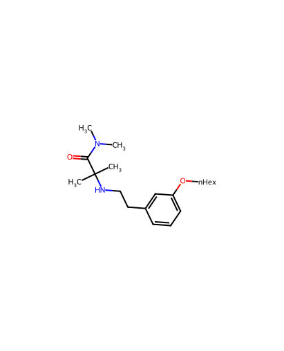 CCCCCCOc1cccc(CCNC(C)(C)C(=O)N(C)C)c1